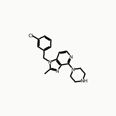 Cc1nc2c(N3CCNCC3)nccc2n1Cc1cccc(Cl)c1